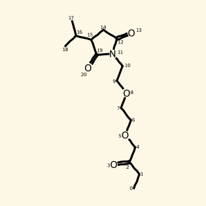 CCC(=O)COCCOCCN1C(=O)CC(C(C)C)C1=O